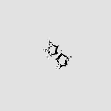 [c]1conn1.[c]1ncco1